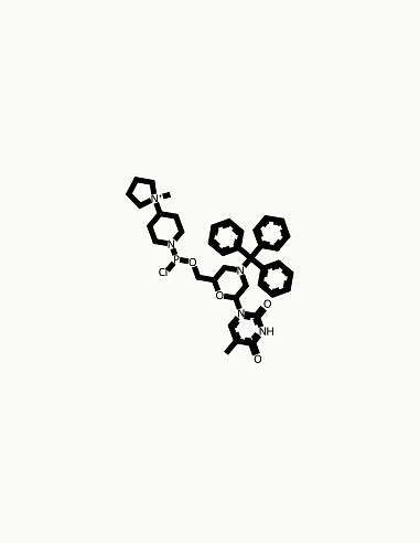 Cc1cn(C2CN(C(c3ccccc3)(c3ccccc3)c3ccccc3)CC(COP(Cl)N3CCC([N+]4(C)CCCC4)CC3)O2)c(=O)[nH]c1=O